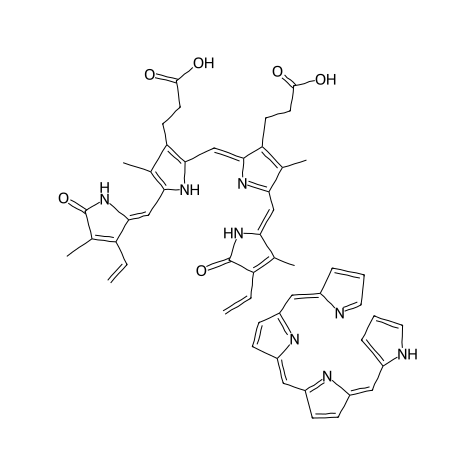 C1=C/C(=C/C2=NC(=C\C3=NC(=C\c4ccc[nH]4)/C=C3)/C=C2)N=C1.C=CC1=C(C)/C(=C/C2=NC(=C\c3[nH]c(/C=C4\NC(=O)C(C)=C4C=C)c(C)c3CCC(=O)O)/C(CCC(=O)O)=C2C)NC1=O